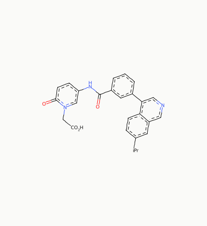 CC(C)c1ccc2c(-c3cccc(C(=O)Nc4ccc(=O)n(CC(=O)O)c4)c3)cncc2c1